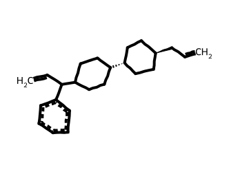 C=CC[C@H]1CC[C@H](C2CCC(C(C=C)c3ccccc3)CC2)CC1